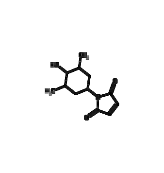 CC1CC(N2C(=O)C=CC2=O)CC(C)C1O